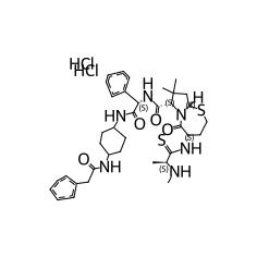 CN[C@@H](C)C(=S)N[C@H]1CCS[C@H]2CC(C)(C)[C@@H](C(=O)N[C@H](C(=O)NC3CCC(NC(=O)Cc4ccccc4)CC3)c3ccccc3)N2C1=O.Cl.Cl